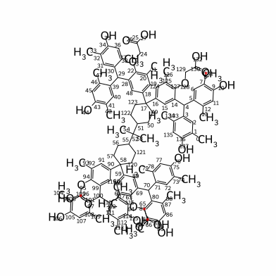 Cc1cc(C(c2cc(C)c(O)cc2C)c2cc(C3(c4cc(C)c(OCC(=O)O)c(C(c5cc(C)c(O)cc5C)c5cc(C)c(O)cc5C)c4)CCC(C(C)(C)C4CCC(c5cc(C)c(OCC(=O)O)c(C(c6cc(C)c(O)cc6C)c6cc(C)c(O)cc6C)c5)(c5cc(C)c(OC(=O)O)c(C(c6cc(C)c(O)cc6C)c6cc(C)c(O)cc6C)c5)CC4)CC3)cc(C)c2OCC(=O)O)c(C)cc1O